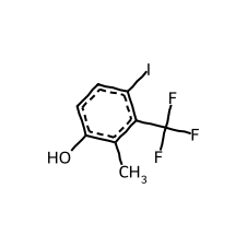 Cc1c(O)ccc(I)c1C(F)(F)F